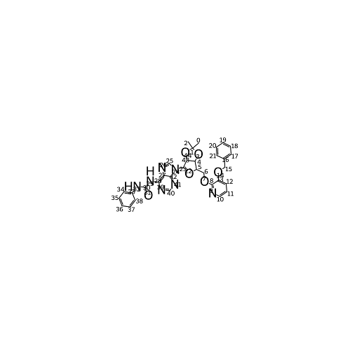 CC1(C)OC2C(COc3ncccc3OCc3ccccc3)OC(n3cnc4c(NC(=O)Nc5ccccc5)ncnc43)C2O1